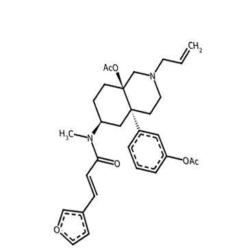 C=CCN1CC[C@@]2(c3cccc(OC(C)=O)c3)C[C@@H](N(C)C(=O)/C=C/c3ccoc3)CC[C@]2(OC(C)=O)C1